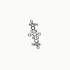 Cn1c(=O)[nH]c2c1=CC1OC3=C(Cl)C4=Nc5cc6[nH]c(=O)n(C)c6cc5OC4C(Cl)=C3N=C1C=2